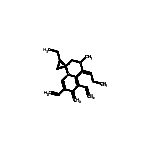 C=CC1=CN2C(=C(C=C)C1=C)/C(=C\CC)N(C)CC21CC1CC